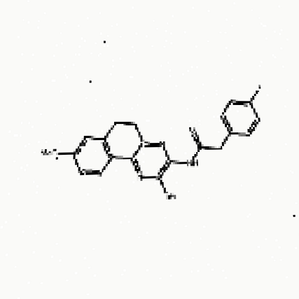 CCCc1nc2c(nc1NC(=O)Cc1ccc(F)cc1)CCc1cc(OC)ccc1-2